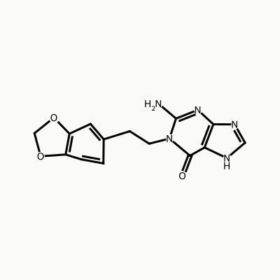 Nc1nc2nc[nH]c2c(=O)n1CCc1ccc2c(c1)OCO2